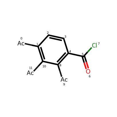 CC(=O)c1ccc(C(=O)Cl)c(C(C)=O)c1C(C)=O